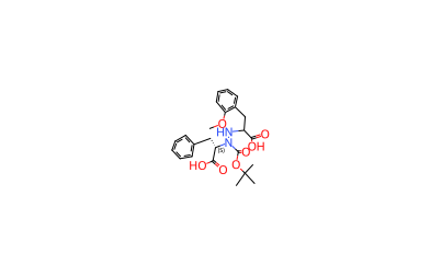 COc1ccccc1CC(NN(C(=O)OC(C)(C)C)[C@@H](Cc1ccccc1)C(=O)O)C(=O)O